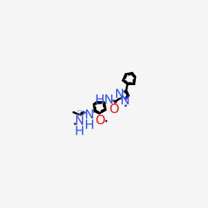 CN/C(C)=C\Nc1ccc(NC(=O)c2nc(-c3ccccc3)cn2C)cc1OC